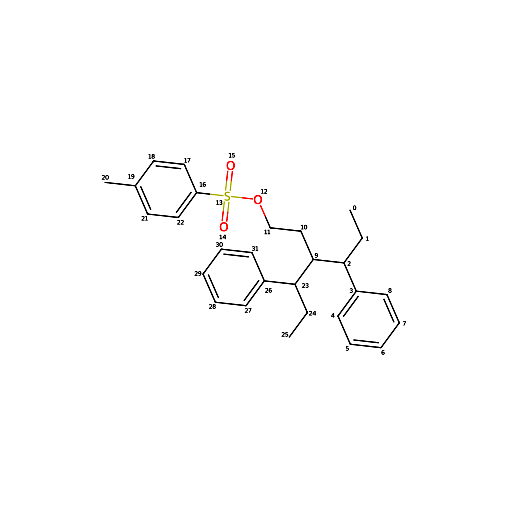 CCC(c1ccccc1)C(CCOS(=O)(=O)c1ccc(C)cc1)C(CC)c1ccccc1